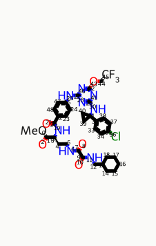 COC(=O)[C@H](CCNC(=O)C(=O)NCC1CCCCC1)NC(=O)c1ccc(Nc2nc(NC3(c4ccc(Cl)cc4)CC3)nc(OCC(F)(F)F)n2)cc1